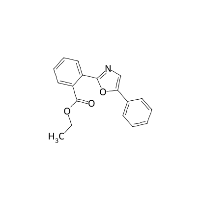 CCOC(=O)c1ccccc1-c1ncc(-c2ccccc2)o1